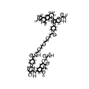 CNC(=O)COc1cc2cc(Nc3nc(N4CCC(C(=O)NCCOCCOCCOCCC(=O)N5CCC(n6nc(N7CCCc8cc(-c9cnn(C)c9)c(C(F)F)cc87)c7c6CCN(C(=O)NC)C7)CC5)CC4)ncc3Cl)cc(OC)c2n(C)c1=O